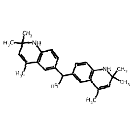 CCCC(c1ccc2c(c1)C(C)=CC(C)(C)N2)c1ccc2c(c1)C(C)=CC(C)(C)N2